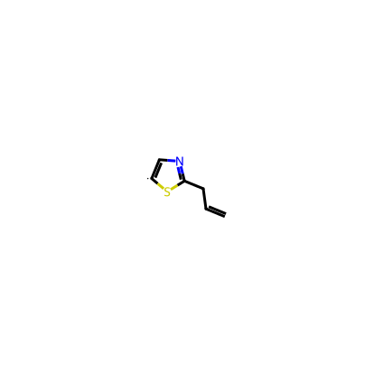 C=CCc1nc[c]s1